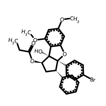 CCC(=O)O[C@@H]1C[C@@H](c2ccccc2)[C@]2(c3ccc(Br)cc3)Oc3cc(OC)cc(OC)c3[C@]12O